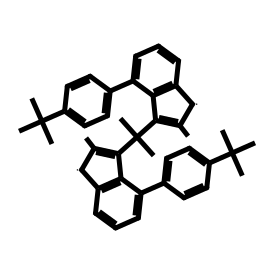 CC1=C(C(C)(C)C2=C(C)[CH]c3cccc(-c4ccc(C(C)(C)C)cc4)c32)c2c(cccc2-c2ccc(C(C)(C)C)cc2)[CH]1